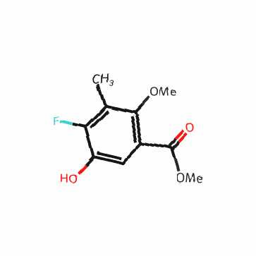 COC(=O)c1cc(O)c(F)c(C)c1OC